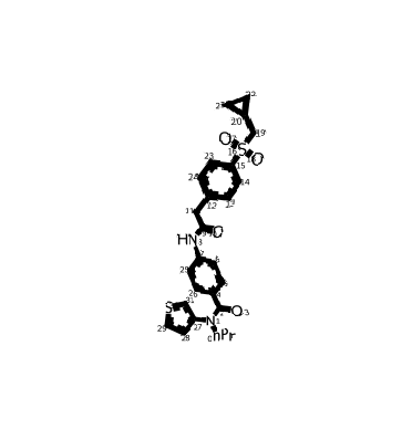 CCCN(C(=O)c1ccc(NC(=O)Cc2ccc(S(=O)(=O)CC3CC3)cc2)cc1)c1ccsc1